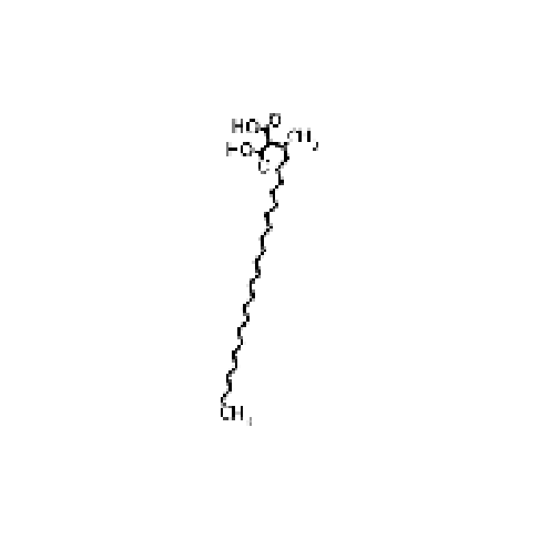 CCCCCCCCCCCCCCCCCCCCCCCC(C)C(C(=O)O)C(=O)O